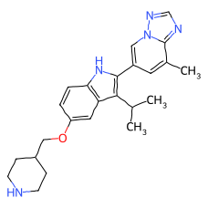 Cc1cc(-c2[nH]c3ccc(OCC4CCNCC4)cc3c2C(C)C)cn2ncnc12